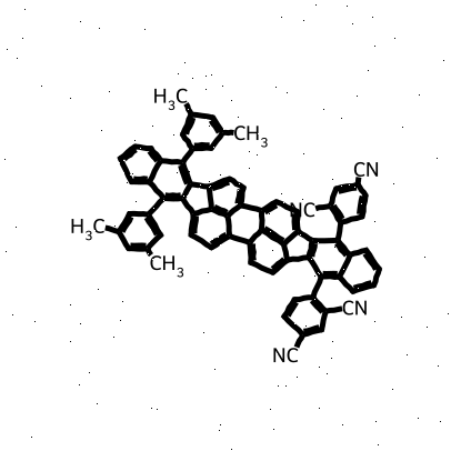 Cc1cc(C)cc(-c2c3c(c(-c4cc(C)cc(C)c4)c4ccccc24)-c2ccc4c5ccc6c7c(ccc(c8ccc-3c2c84)c75)-c2c-6c(-c3ccc(C#N)cc3C#N)c3ccccc3c2-c2ccc(C#N)cc2C#N)c1